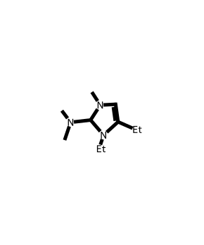 CCC1=CN(C)C(N(C)C)N1CC